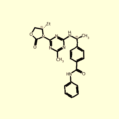 CC[C@H]1COC(=O)N1c1nc(C)nc(N[C@@H](C)c2ccc(C(=O)Nc3ccccc3)cc2)n1